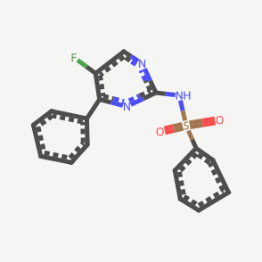 O=S(=O)(Nc1ncc(F)c(-c2ccccc2)n1)c1ccccc1